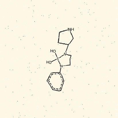 OS1(O)N(c2ccccc2)CCN1C1CCNC1